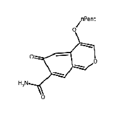 CCCCCOc1cocc2cc(C(N)=O)c(=O)cc1-2